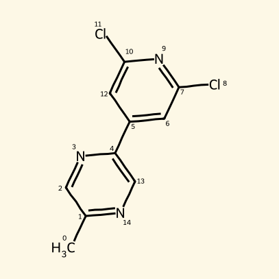 Cc1cnc(-c2cc(Cl)nc(Cl)c2)cn1